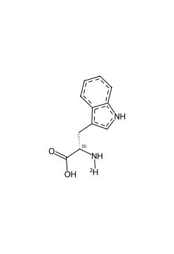 [2H]N[C@@H](Cc1c[nH]c2ccccc12)C(=O)O